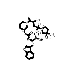 CC1(C)CCN(C(C)(C)CC(C#N)C(=O)N2CCC[C@H](OC(=O)N[C@@H](Cc3coc4ccccc34)B(O)O)C2)C1